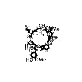 CO[C@H]1C[C@@H](C)C/C(C)=C/[C@@H](C/C=C/C(C)=O)C(=O)C[C@H](O)[C@@H](C)[C@@H](/C(C)=C/[C@@H]2CC[C@@H](O)[C@H](OC)C2)OC(=O)[C@@H]2CCCCN2C(=O)C(=O)[C@]2(O)O[C@H]1[C@@H](OC)C[C@H]2C